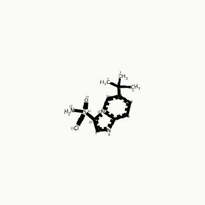 CC(C)(C)c1ccc2ncc(S(N)(=O)=O)n2c1